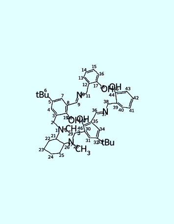 CN(Cc1cc(C(C)(C)C)cc(/C=N/Cc2ccccc2O)c1O)C1CCCCC1N(C)Cc1cc(C(C)(C)C)cc(/C=N/Cc2ccccc2O)c1O